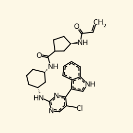 C=CC(=O)N[C@@H]1CCC(C(=O)N[C@H]2CCC[C@@H](Nc3ncc(Cl)c(-c4c[nH]c5ccccc45)n3)C2)C1